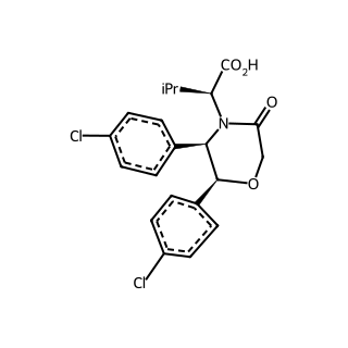 CC(C)[C@@H](C(=O)O)N1C(=O)CO[C@@H](c2ccc(Cl)cc2)[C@H]1c1ccc(Cl)cc1